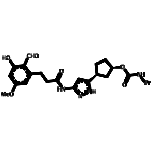 COc1cc(O)c(C=O)c(CCC(=O)Nc2cc([C@H]3CC[C@@H](OC(=O)NC(C)C)C3)[nH]n2)c1